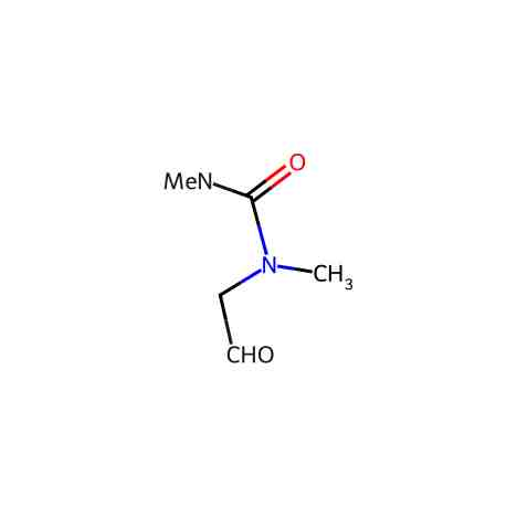 CNC(=O)N(C)CC=O